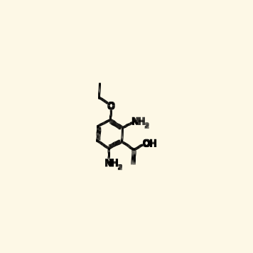 C=C(O)c1c(N)ccc(OCC)c1N